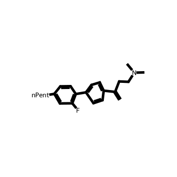 C=C(CCN(C)C)c1ccc(-c2ccc(CCCCC)cc2F)cc1